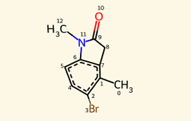 Cc1c(Br)ccc2c1CC(=O)N2C